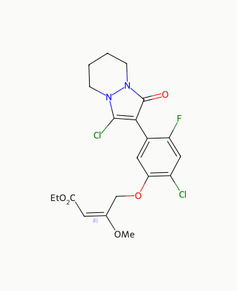 CCOC(=O)/C=C(\COc1cc(-c2c(Cl)n3n(c2=O)CCCC3)c(F)cc1Cl)OC